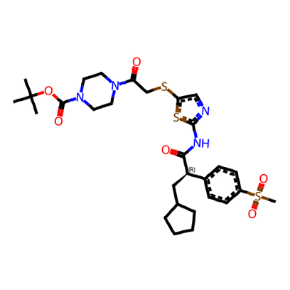 CC(C)(C)OC(=O)N1CCN(C(=O)CSc2cnc(NC(=O)[C@H](CC3CCCC3)c3ccc(S(C)(=O)=O)cc3)s2)CC1